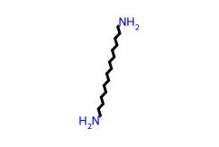 NCCCCCCCCCCCCCCCCN